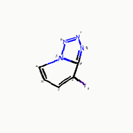 Ic1cccn2nnnc12